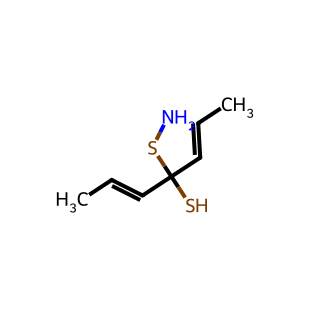 CC=CC(S)(C=CC)SN